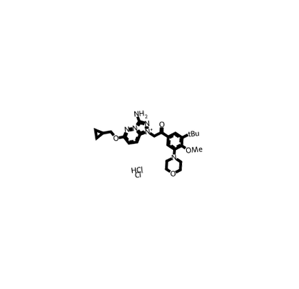 COc1c(N2CCOCC2)cc(C(=O)C[n+]2nc(N)n3nc(OCC4CC4)ccc32)cc1C(C)(C)C.Cl.[Cl-]